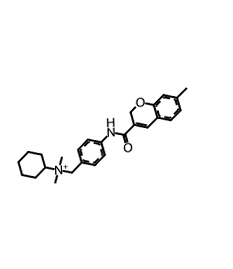 Cc1ccc2c(c1)OCC(C(=O)Nc1ccc(C[N+](C)(C)C3CCCCC3)cc1)=C2